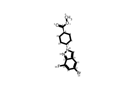 COC(=O)[C@H]1CC[C@H](n2cc3cc(Br)cc(F)c3n2)CC1